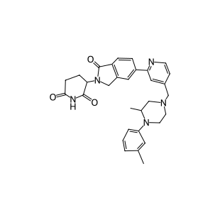 Cc1cccc(N2CCN(Cc3ccnc(-c4ccc5c(c4)CN(C4CCC(=O)NC4=O)C5=O)c3)CC2C)c1